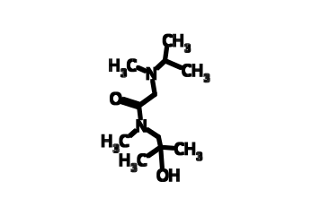 CC(C)N(C)CC(=O)N(C)CC(C)(C)O